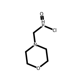 O=[PH](Cl)CN1CCOCC1